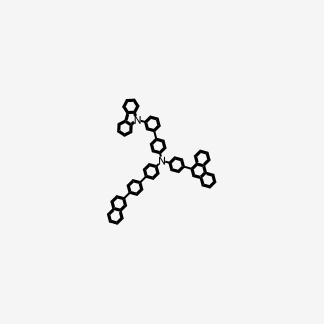 c1cc(-c2ccc(N(c3ccc(-c4ccc(-c5ccc6ccccc6c5)cc4)cc3)c3ccc(-c4cc5ccccc5c5ccccc45)cc3)cc2)cc(-n2c3ccccc3c3ccccc32)c1